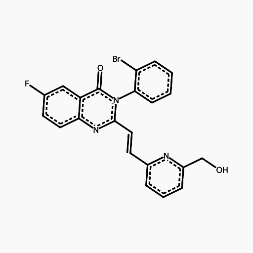 O=c1c2cc(F)ccc2nc(C=Cc2cccc(CO)n2)n1-c1ccccc1Br